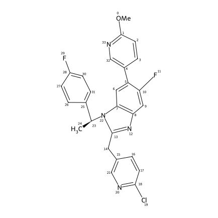 COc1ccc(-c2cc3c(cc2F)nc(Cc2ccc(Cl)nc2)n3[C@@H](C)c2ccc(F)cc2)cn1